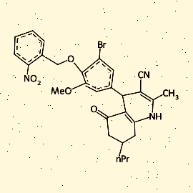 CCCC1CC(=O)C2=C(C1)NC(C)=C(C#N)C2c1cc(Br)c(OCc2ccccc2[N+](=O)[O-])c(OC)c1